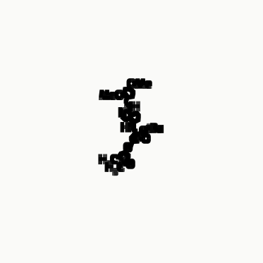 COc1ccc(CNc2nccc3c(NCC45CC(COc6cc(C)n(C)c(=O)c6)(CN4C(=O)OC(C)(C)C)C5)cccc23)c(OC)c1